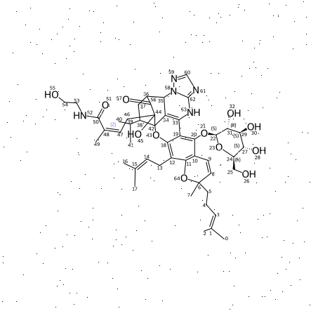 CC(C)=CCCC1(C)C=Cc2c(c(CC=C(C)C)c3c(c2O[C@@H]2O[C@H](CO)[C@@H](O)[C@H](O)[C@H]2O)C2=C4C(C5CC(C(C)C)C4(O3)C(O)(C/C=C(/C)C(=O)NCCO)C5=O)n3ncnc3N2)O1